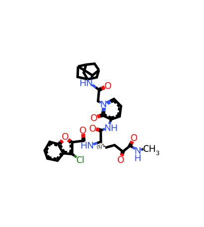 CNC(=O)C(=O)CC[C@H](NC(=O)c1oc2ccccc2c1Cl)C(=O)Nc1cccn(CC(=O)NC2C3CC4CC(C3)C2C4)c1=O